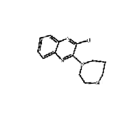 Clc1nc2ccccc2nc1N1CCCNCC1